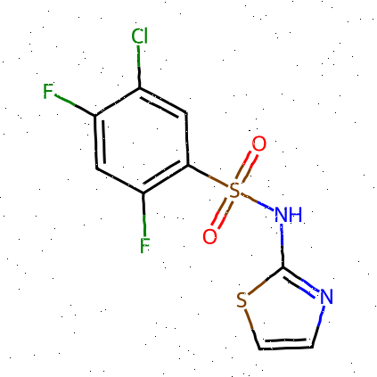 O=S(=O)(Nc1nccs1)c1cc(Cl)c(F)cc1F